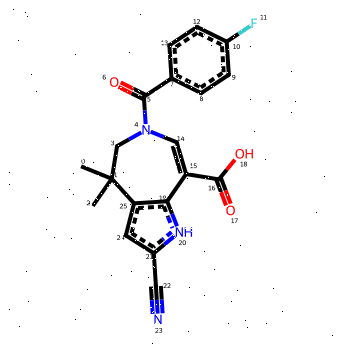 CC1(C)CN(C(=O)c2ccc(F)cc2)C=C(C(=O)O)c2[nH]c(C#N)cc21